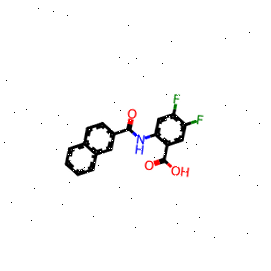 O=C(Nc1cc(F)c(F)cc1C(=O)O)c1ccc2ccccc2c1